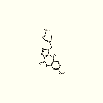 COc1ccc(Cn2nnc3c(=O)[nH]c4cc(C=O)ccc4c(=O)c32)cc1